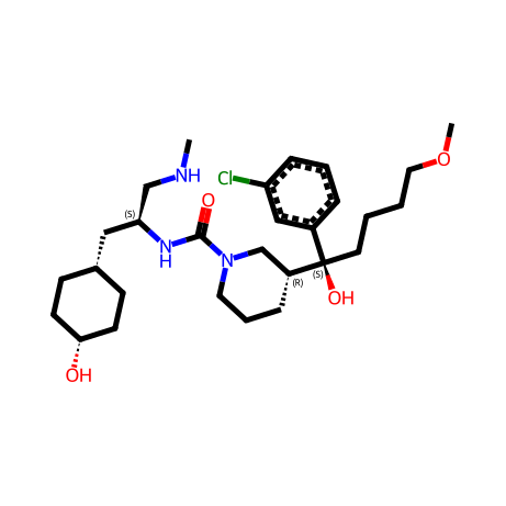 CNC[C@H](C[C@H]1CC[C@@H](O)CC1)NC(=O)N1CCC[C@@H]([C@@](O)(CCCCOC)c2cccc(Cl)c2)C1